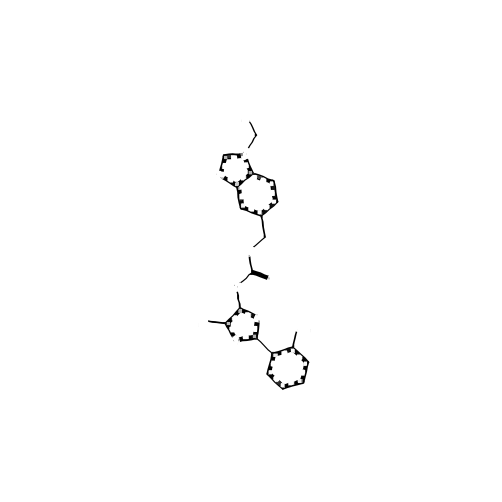 CCn1cnc2cc(COC(=O)Nc3sc(-c4ccccc4C)nc3C)ccc21